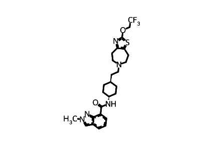 Cn1cc2cccc(C(=O)N[C@H]3CC[C@H](CCN4CCc5nc(OCC(F)(F)F)sc5CC4)CC3)c2n1